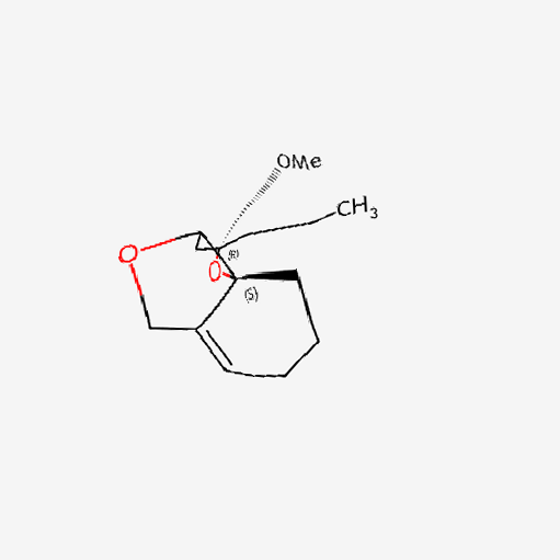 CO[C@@]1(C)CC2OCC3=CCCC[C@]32O1